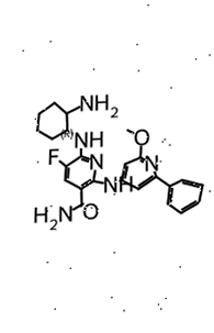 COc1cc(Nc2nc(N[C@@H]3CCCCC3N)c(F)cc2C(N)=O)cc(-c2ccccc2)n1